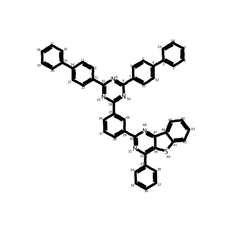 c1ccc(-c2ccc(-c3nc(-c4ccc(-c5ccccc5)cc4)nc(-c4cccc(-c5nc(-c6ccccc6)c6sc7ccccc7c6n5)c4)n3)cc2)cc1